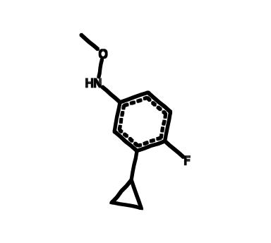 CONc1ccc(F)c(C2CC2)c1